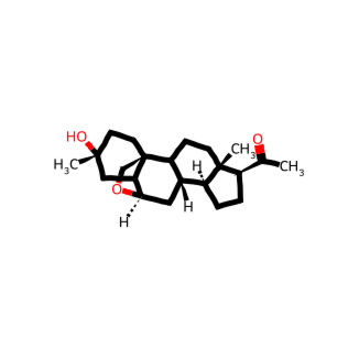 CC(=O)[C@H]1CC[C@H]2[C@@H]3C[C@H]4OC[C@@]5(CC[C@@](C)(O)CC45)C3CC[C@]12C